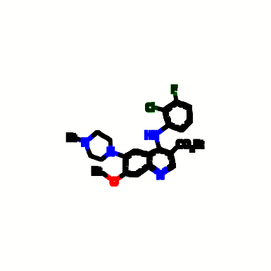 CCOC(=O)c1cnc2cc(OCC)c(N3CCN(CC)CC3)cc2c1Nc1cccc(F)c1Cl